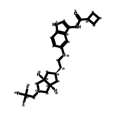 O=C(Nc1c[nH]c2ccc(OCC[C@@H]3C[C@@H]4CN(CC(F)(F)F)C[C@@H]4C3)cc12)C1CCC1